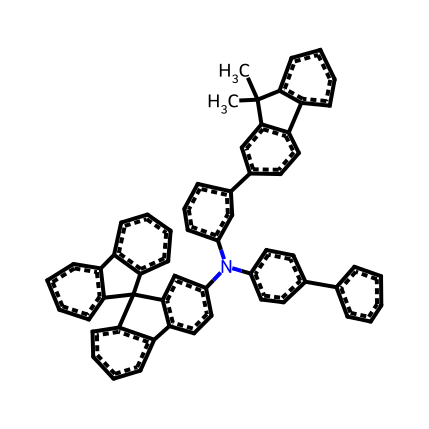 CC1(C)c2ccccc2-c2ccc(-c3cccc(N(c4ccc(-c5ccccc5)cc4)c4ccc5c(c4)C4(c6ccccc6-c6ccccc64)c4ccccc4-5)c3)cc21